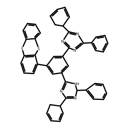 C1=CCC(C2=NC(c3ccccc3)NC(c3cc(-c4nc(-c5ccccc5)nc(C5C=CC=CC5)n4)cc(-c4cccc5c4Sc4ccccc4S5)c3)=N2)C=C1